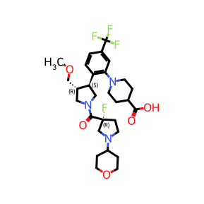 COC[C@H]1CN(C(=O)[C@@]2(F)CCN(C3CCOCC3)C2)C[C@@H]1c1ccc(C(F)(F)F)cc1N1CCC(C(=O)O)CC1